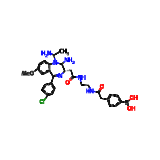 COc1ccc2c(c1)C(c1ccc(Cl)cc1)=N[C@@H](CC(=O)NCCNC(=O)Cc1ccc(B(O)O)cc1)C(N)N2C(C)N